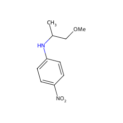 COCC(C)Nc1ccc([N+](=O)[O-])cc1